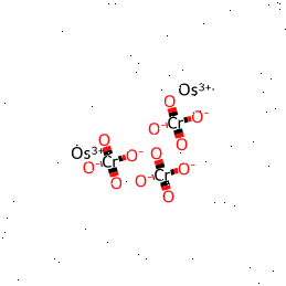 [O]=[Cr](=[O])([O-])[O-].[O]=[Cr](=[O])([O-])[O-].[O]=[Cr](=[O])([O-])[O-].[Os+3].[Os+3]